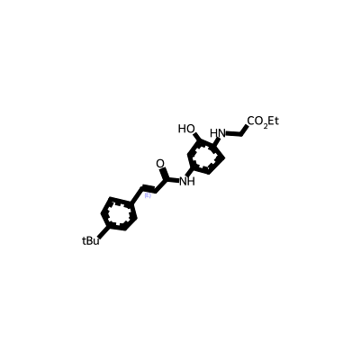 CCOC(=O)CNc1ccc(NC(=O)/C=C/c2ccc(C(C)(C)C)cc2)cc1O